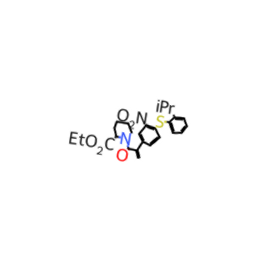 C=C(C(=O)N1CCCCC1C(=O)OCC)c1ccc(Sc2ccccc2C(C)C)c([N+](=O)[O-])c1